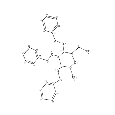 OCC1OC(O)C(OCc2ccccc2)C(OCc2ccccc2)C1OCc1ccccc1